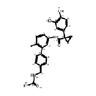 Cc1ccc(NC(=O)C2(c3ccc(O)c(O)c3)CC2)cc1-c1ccc(CNC(=O)C(C)C)cc1